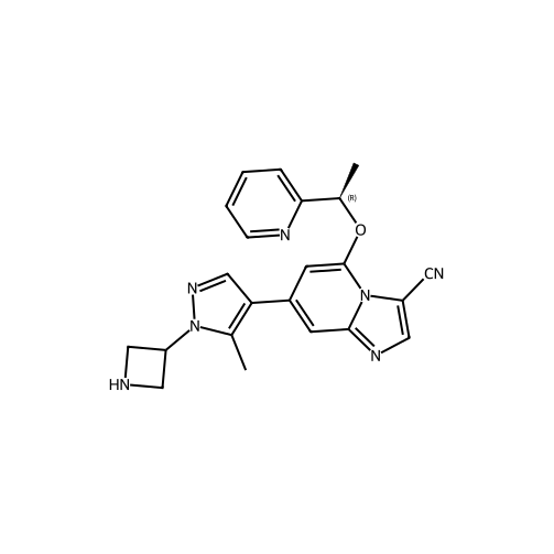 Cc1c(-c2cc(O[C@H](C)c3ccccn3)n3c(C#N)cnc3c2)cnn1C1CNC1